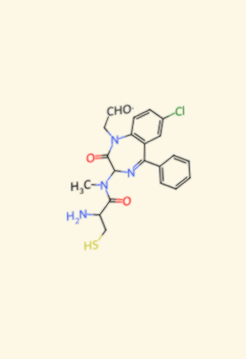 CN(C(=O)C(N)CS)C1N=C(c2ccccc2)c2cc(Cl)ccc2N(C[C]=O)C1=O